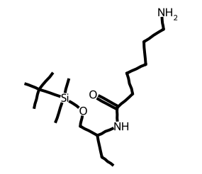 CCC(CO[Si](C)(C)C(C)(C)C)NC(=O)CCCCCN